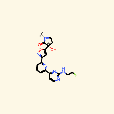 CN1CC[C@@](O)(c2cc(-c3cccc(-c4ccnc(NCCF)n4)n3)no2)C1=O